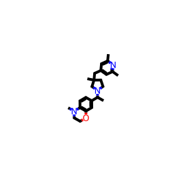 Cc1cc(CC2(C)CCN(C(C)c3ccc4c(c3)OCCN4C)C2)cc(C)n1